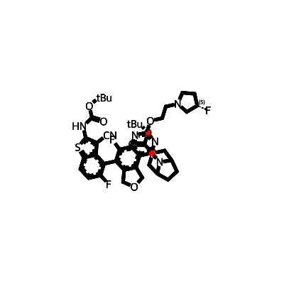 CC(C)(C)OC(=O)Nc1sc2ccc(F)c(-c3c4c(c5c(N6C7CCC6CN(C(=O)OC(C)(C)C)C7)nc(OCCN6CC[C@H](F)C6)nc5c3F)COC4)c2c1C#N